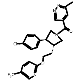 Cc1cc(C(=O)N2C[C@H](CCOc3ccc(C(F)(F)F)cn3)[C@@H](c3ccc(Cl)cc3)C2)cnn1